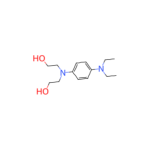 CCN(CC)c1ccc(N(CCO)CCO)cc1